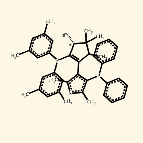 CCC[C@H]1C(P(c2cc(C)cc(C)c2)c2cc(C)cc(C)c2)=C(c2c(C)sc(C)c2P(c2ccccc2)c2ccccc2)C(C)C1(C)C